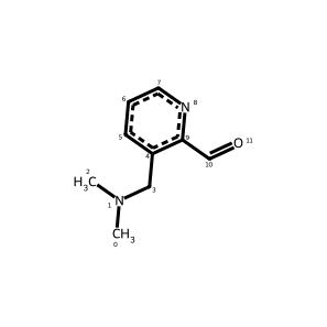 CN(C)Cc1cccnc1C=O